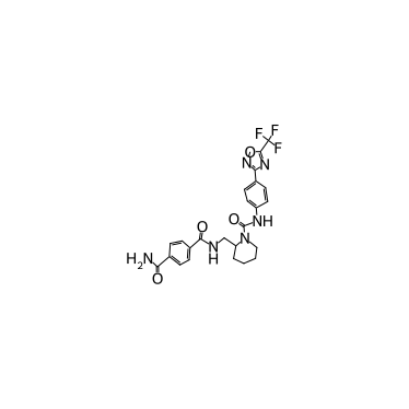 NC(=O)c1ccc(C(=O)NCC2CCCCN2C(=O)Nc2ccc(-c3noc(C(F)(F)F)n3)cc2)cc1